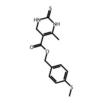 CSc1ccc(COC(=O)C2=C(C)NC(=S)NC2)cc1